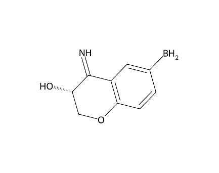 Bc1ccc2c(c1)C(=N)[C@@H](O)CO2